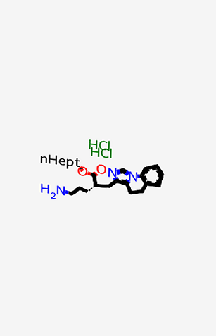 CCCCCCCOC(=O)[C@@H](CCCN)Cc1ncn2c1CCc1ccccc1-2.Cl.Cl